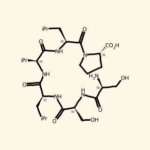 CC(C)C[C@H](NC(=O)[C@H](CO)NC(=O)[C@@H](N)CO)C(=O)N[C@H](C(=O)N[C@@H](CC(C)C)C(=O)N1CCC[C@H]1C(=O)O)C(C)C